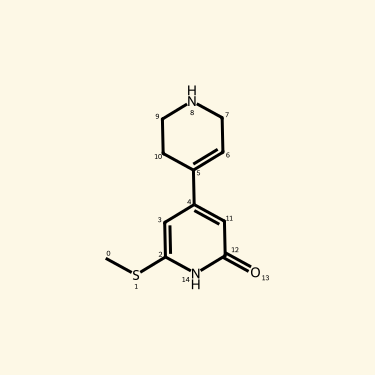 CSc1cc(C2=CCNCC2)cc(=O)[nH]1